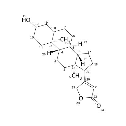 C[C@]12CC[C@H]3[C@@H](CCC4CC(O)CC[C@@]43C)[C@@H]1CC[C@@H]2C1=CC(=O)OC1